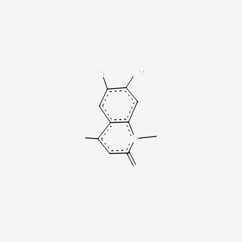 COc1cc2c(cc1N)c(C)cc(=O)n2C